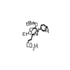 CCOC(CCC(=O)O)=NN(C(=O)OC(C)(C)C)c1cccnc1